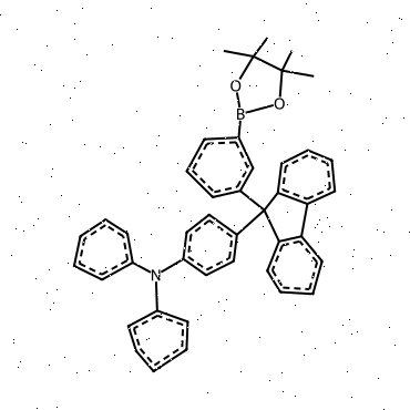 CC1(C)OB(c2cccc(C3(c4ccc(N(c5ccccc5)c5ccccc5)cc4)c4ccccc4-c4ccccc43)c2)OC1(C)C